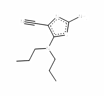 CCCN(CCC)c1sc(N)nc1C#N